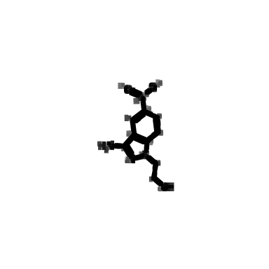 Nc1nn(CCO)c2ccc([N+](=O)[O-])cc12